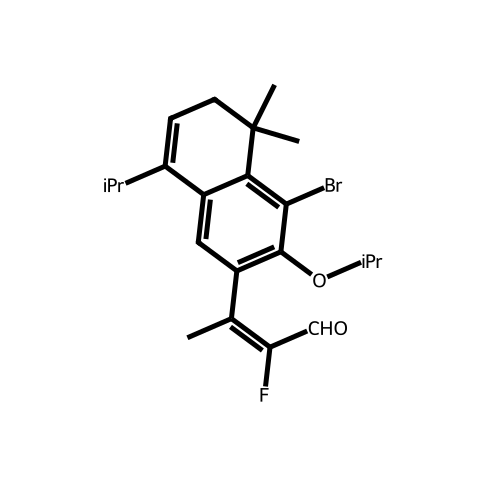 C/C(=C(\F)C=O)c1cc2c(c(Br)c1OC(C)C)C(C)(C)CC=C2C(C)C